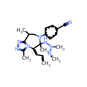 C=C/C=C1/n2c(C)nnc2C(C)CN(c2ccc(C#N)cc2)C1(C)NN(C)N=C